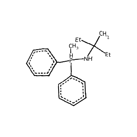 CCC(C)(CC)N[PH](C)(c1ccccc1)c1ccccc1